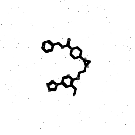 O=C(OCc1ccccc1)N1CCC([C@H]2C[C@H]2CCOc2ncc(-n3cnnn3)cc2CF)CC1